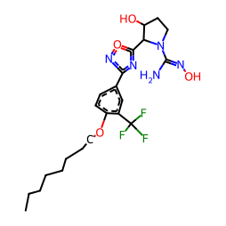 CCCCCCCCOc1ccc(-c2noc(C3C(O)CCN3/C(N)=N/O)n2)cc1C(F)(F)F